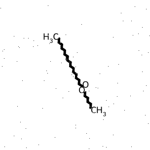 CCCCCCCC=CCCCCCCCCC(=O)OCCCCCCC